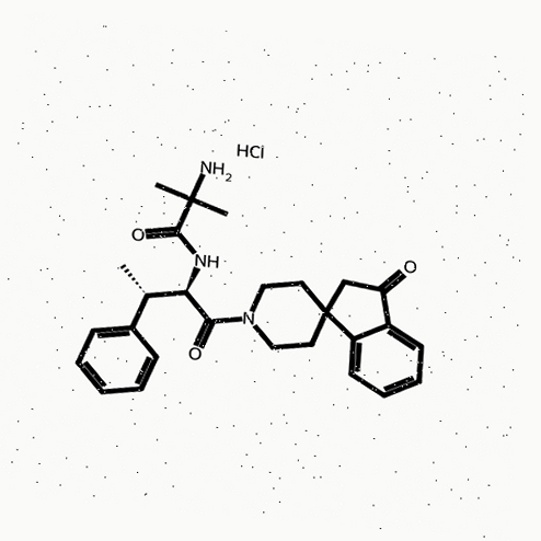 C[C@@H](c1ccccc1)[C@@H](NC(=O)C(C)(C)N)C(=O)N1CCC2(CC1)CC(=O)c1ccccc12.Cl